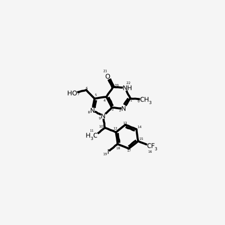 Cc1nc2c(c(CO)nn2C(C)c2ccc(C(F)(F)F)cc2I)c(=O)[nH]1